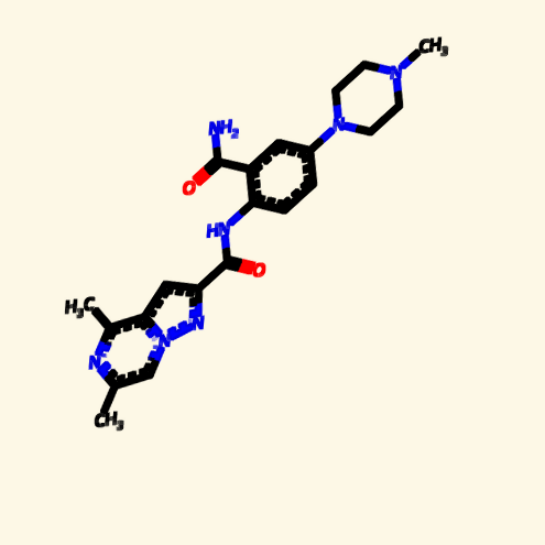 Cc1cn2nc(C(=O)Nc3ccc(N4CCN(C)CC4)cc3C(N)=O)cc2c(C)n1